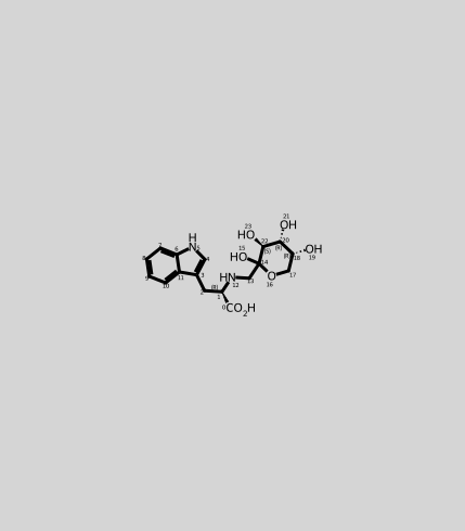 O=C(O)[C@@H](Cc1c[nH]c2ccccc12)NCC1(O)OC[C@@H](O)[C@@H](O)[C@@H]1O